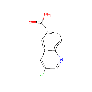 O=C(O)c1ccc2ncc(Cl)cc2c1